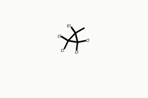 CCC1(C)C(Cl)(Cl)C1(Cl)Cl